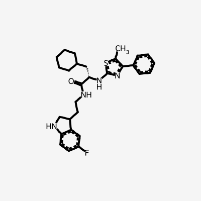 Cc1sc(N[C@@H](CC2CCCCC2)C(=O)NCCC2CNc3ccc(F)cc32)nc1-c1ccccc1